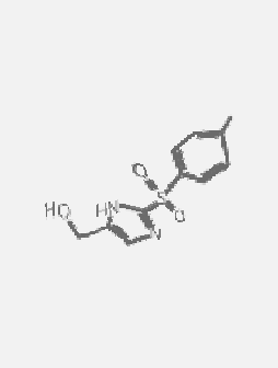 Cc1ccc(S(=O)(=O)c2ncc(CO)[nH]2)cc1